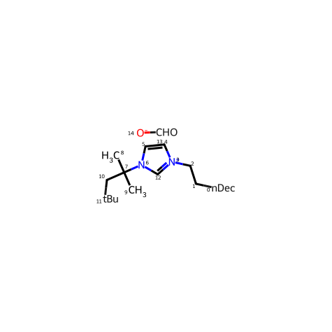 CCCCCCCCCCCC[n+]1ccn(C(C)(C)CC(C)(C)C)c1.O=C[O-]